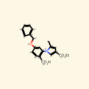 CCOC(=O)c1cc(C)n(-c2cc(OCc3ccccc3)ccc2C(=O)O)c1